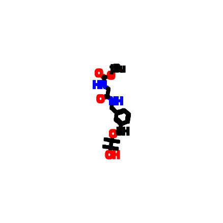 CC(C)(C)OC(=O)NCC(=O)NCc1cccc(BOC(C)(C)C(C)(C)O)c1